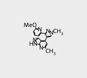 COc1cccc(-c2nn(C)cc2-c2cc(C)nc3[nH]ncc23)n1